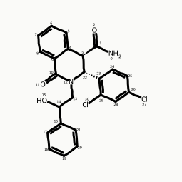 NC(=O)[C@@H]1c2ccccc2C(=O)N(CC(O)c2ccccc2)[C@H]1c1ccc(Cl)cc1Cl